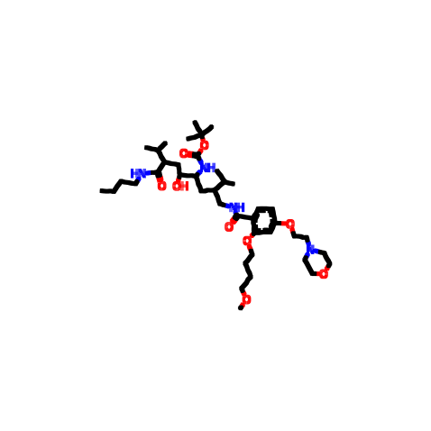 CCCCNC(=O)C(CC(O)C(CC(CNC(=O)c1ccc(OCCN2CCOCC2)cc1OCCCCOC)C(C)C)NC(=O)OC(C)(C)C)C(C)C